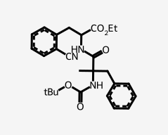 CCOC(=O)C(Cc1ccccc1C#N)NC(=O)C(C)(Cc1ccccc1)NC(=O)OC(C)(C)C